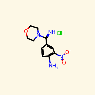 Cl.N=C(c1ccc(N)c([N+](=O)[O-])c1)N1CCOCC1